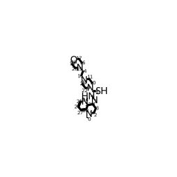 CN1CC/C(=N/NC(S)N2CCN(CCN3CCOCC3)CC2)c2ncccc21